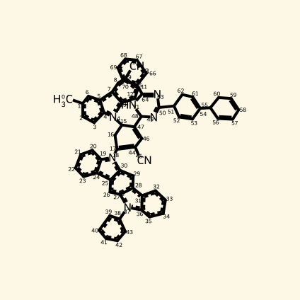 Cc1ccc2c(c1)c1cc(C)ccc1n2C1CC(n2c3ccccc3c3cc4c(cc32)c2ccccc2n4-c2ccccc2)=C(C#N)C=C1C1N=C(C2C=CC(C3C=CC=CC3)=CC2)N=C(c2ccccc2)N1